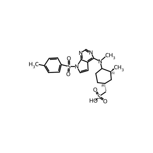 Cc1ccc(S(=O)(=O)n2ccc3c(N(C)C4CC[C@@H](CS(=O)(=O)O)C[C@@H]4C)ncnc32)cc1